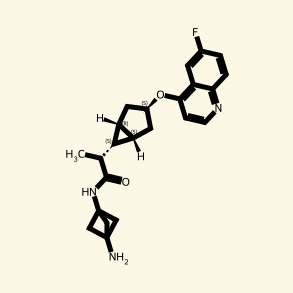 CC(C(=O)NC12CC(N)(C1)C2)[C@@H]1[C@@H]2C[C@@H](Oc3ccnc4ccc(F)cc34)C[C@@H]21